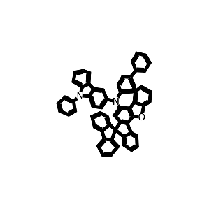 c1ccc(-c2ccc(N(c3ccc4c(c3)c3ccccc3n4-c3ccccc3)c3cc4c(c5oc6ccccc6c35)-c3ccccc3C43c4ccccc4-c4ccccc43)cc2)cc1